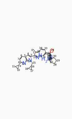 Cc1c(-c2cc3ccc(C4CC4)nc3n2CC2CC2)nn2cc(C(=O)N3CC4CCC3[C@@H]4N)ccc12